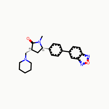 CN1C(=O)[C@@H](CN2CCCCC2)C[C@H]1c1ccc(-c2ccc3nonc3c2)cc1